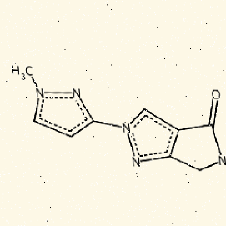 Cn1ccc(-n2cc3c(n2)CNC3=O)n1